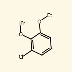 CCOc1c[c]cc(Cl)c1OC(C)C